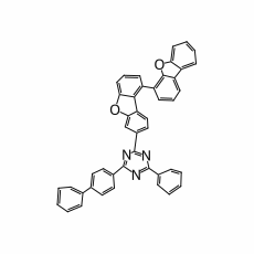 c1ccc(-c2ccc(-c3nc(-c4ccccc4)nc(-c4ccc5c(c4)oc4cccc(-c6cccc7c6oc6ccccc67)c45)n3)cc2)cc1